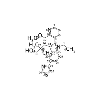 CCn1c(-c2cccnc2COC)c(CC(C)(C)CO)c2cc(-c3cscn3)ccc21